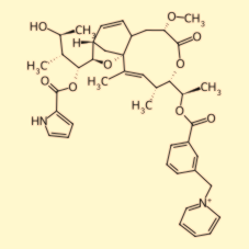 CO[C@H]1CC2C=C[C@@H]3C[C@]2(O[C@H]3[C@H](OC(=O)c2ccc[nH]2)[C@H](C)[C@H](C)O)/C(C)=C/[C@@H](C)[C@@H]([C@@H](C)OC(=O)c2cccc(C[n+]3ccccc3)c2)OC1=O